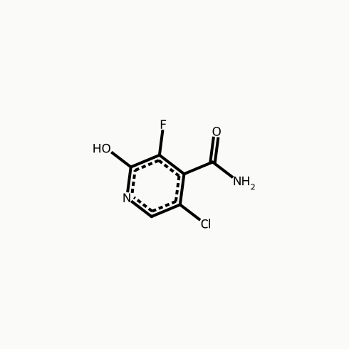 NC(=O)c1c(Cl)cnc(O)c1F